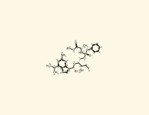 CC[C@@H](O[C@H](COP(=O)(N[C@@H](C)C(=O)OC(C)C)Oc1ccccc1)[C@@H](O)CF)n1cnc2c(N(C)C)nc(N)nc21